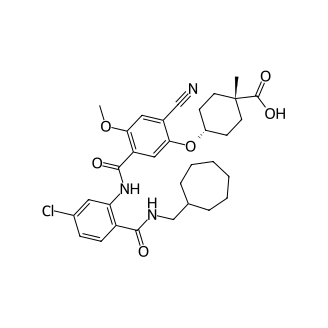 COc1cc(C#N)c(O[C@H]2CC[C@@](C)(C(=O)O)CC2)cc1C(=O)Nc1cc(Cl)ccc1C(=O)NCC1CCCCCC1